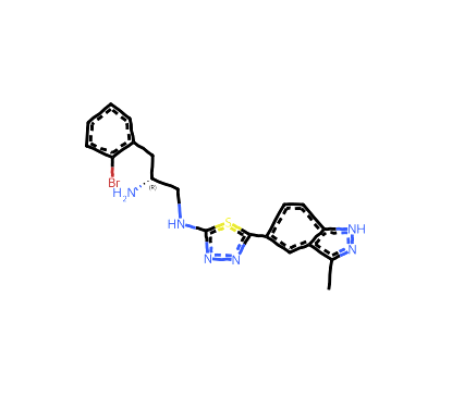 Cc1n[nH]c2ccc(-c3nnc(NC[C@H](N)Cc4ccccc4Br)s3)cc12